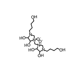 [O-][N+]1(C[N+]2([O-])CN(CCCCO)C(O)C2O)CN(CCCCO)C(O)C1O